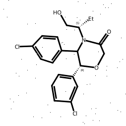 CC[C@@H](CO)N1C(=O)CO[C@H](c2cccc(Cl)c2)C1c1ccc(Cl)cc1